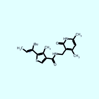 C/C=C(/c1scc(C(=O)NCc2c(C)cc(C)[nH]c2=O)c1C)C(C)CC